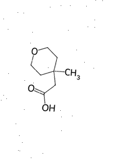 CC1(CC(=O)O)CCOCC1